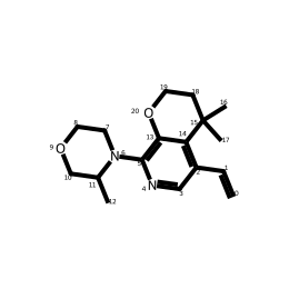 C=Cc1cnc(N2CCOCC2C)c2c1C(C)(C)CCO2